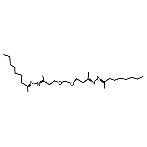 CCCCCCC/C(C)=N/N=C(\C)CCOCOCC/C(C)=N/N=C(\C)CCCCCCC